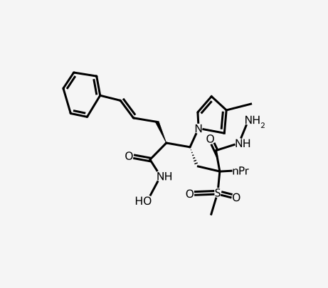 CCCC(C[C@H]([C@H](C/C=C/c1ccccc1)C(=O)NO)n1ccc(C)c1)(C(=O)NN)S(C)(=O)=O